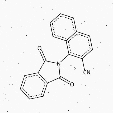 N#Cc1ccc2ccccc2c1N1C(=O)c2ccccc2C1=O